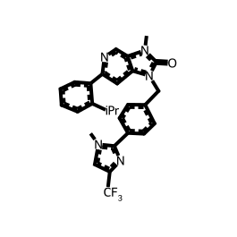 CC(C)c1ccccc1-c1cc2c(cn1)n(C)c(=O)n2Cc1ccc(-c2nc(C(F)(F)F)cn2C)cc1